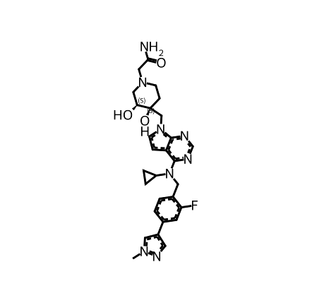 Cn1cc(-c2ccc(CN(c3ncnc4c3ccn4C[C@@]3(O)CCN(CC(N)=O)C[C@@H]3O)C3CC3)c(F)c2)cn1